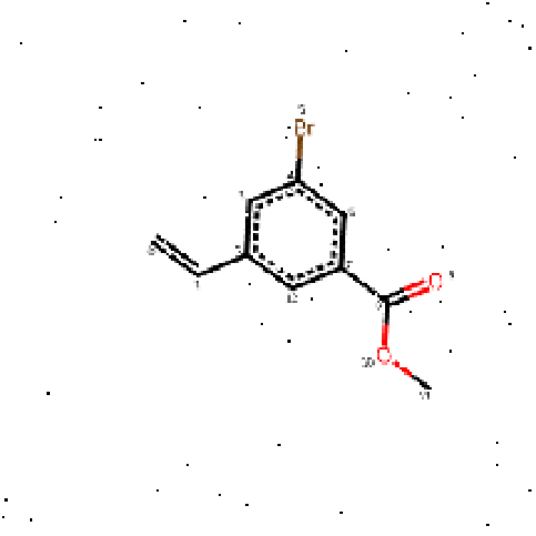 C=Cc1cc(Br)cc(C(=O)OC)c1